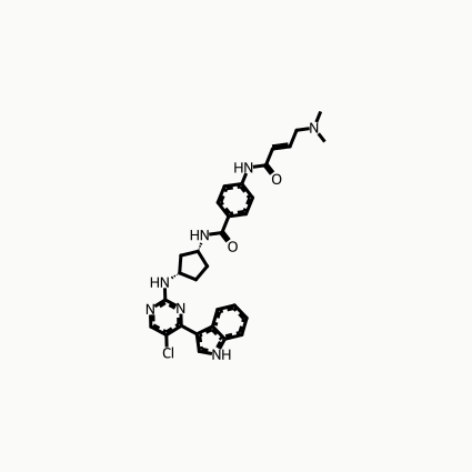 CN(C)CC=CC(=O)Nc1ccc(C(=O)N[C@@H]2CC[C@H](Nc3ncc(Cl)c(-c4c[nH]c5ccccc45)n3)C2)cc1